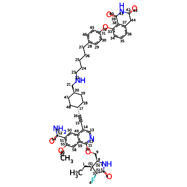 CC[C@@H]1[C@H](F)C(=O)N[C@@H]1COc1ncc(C#C[C@H]2CC[C@H](CNCCCCCc3ccc(Oc4cccc5c4C(=O)NC(=O)C5)cc3)CC2)c2cc(C(N)=O)c(OC)cc12